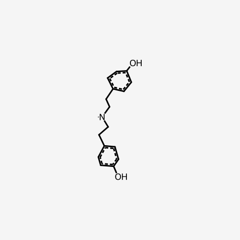 Oc1ccc(CC[N]CCc2ccc(O)cc2)cc1